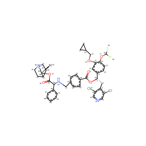 O=C(O[C@@H](Cc1c(Cl)cncc1Cl)c1ccc(OC(F)F)c(OCC2CC2)c1)c1ccc(CNC(C(=O)O[C@H]2CN3CCC2CC3)c2ccccc2)cc1